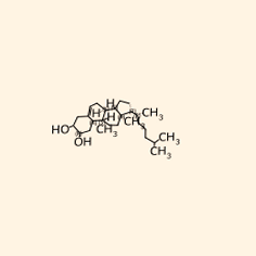 CC(C)CCC[C@@H](C)[C@H]1CC[C@H]2[C@@H]3CC=C4CC(O)[C@H](O)C[C@]4(C)[C@H]3CC[C@]12C